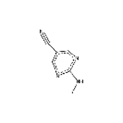 CNc1ncc(C#N)cn1